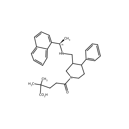 C[C@@H](NCC1CN(C(=O)CCC(C)(C)C(=O)O)CCC1c1ccccc1)c1cccc2ccccc12